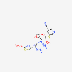 COC1C(Sc2cncc(C#N)c2)OC2COC2C1N(N)/C=C(\N)c1csc(O)n1